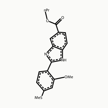 CCCOC(=O)c1ccc2[nH]c(-c3ccc(SC)cc3OC)nc2c1